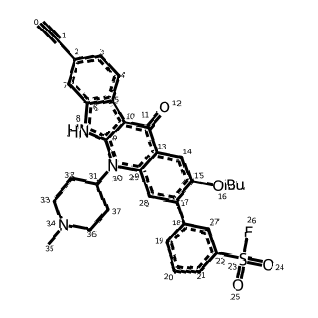 C#Cc1ccc2c(c1)[nH]c1c2c(=O)c2cc(OCC(C)C)c(-c3cccc(S(=O)(=O)F)c3)cc2n1C1CCN(C)CC1